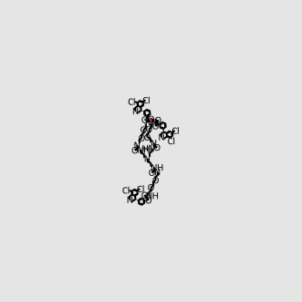 CN1Cc2c(Cl)cc(Cl)cc2[C@H](c2cccc(S(=O)(=O)NCCOCCOCCN(C)C(=O)NCCCN(CCCNC(=O)N(C)CCOCCOCCNS(=O)(=O)c3cccc([C@@H]4CN(C)Cc5c(Cl)cc(Cl)cc54)c3)CCCNC(=O)N(C)CCOCCOCCN(C)S(=O)(=O)c3cccc([C@@H]4CN(C)Cc5c(Cl)cc(Cl)cc54)c3)c2)C1